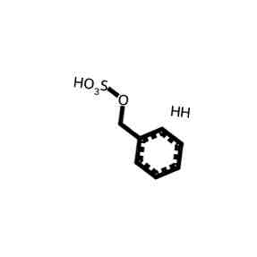 O=S(=O)(O)OCc1ccccc1.[HH]